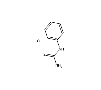 NC(=S)Nc1ccccc1.[Cu]